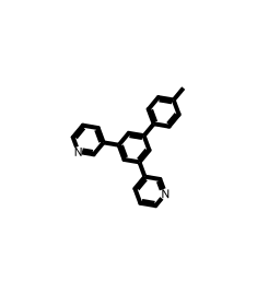 Cc1ccc(-c2cc(-c3cccnc3)cc(-c3cccnc3)c2)cc1